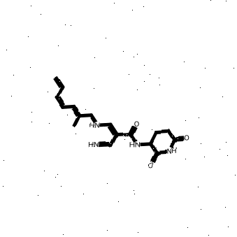 C=C/C=C\C=C(/C)CN/C=C(\C=N)C(=O)NC1CCC(=O)NC1=O